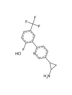 Cl.NC1CC1c1ccc(-c2cc(C(F)(F)F)ccc2F)nc1